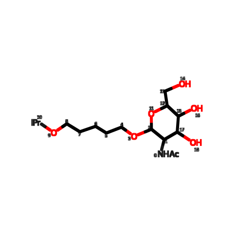 CC(=O)NC1C(OCCCCCOC(C)C)OC(CO)C(O)C1O